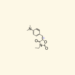 CCN1C(=O)O/C(=C/c2c#cc(N(C)C)cc2)C1=O